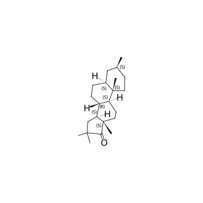 C[C@H]1CC[C@@]2(C)[C@@H](CC[C@@H]3[C@@H]2CC[C@]2(C)C(=O)C(C)(C)C[C@@H]32)C1